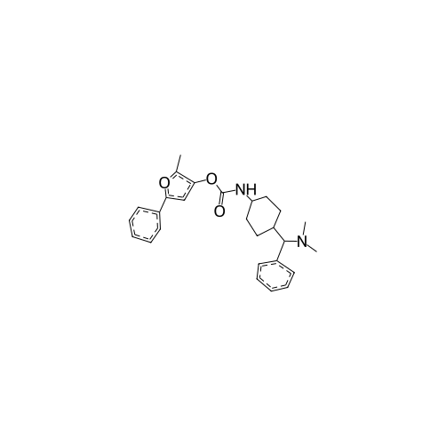 Cc1oc(-c2ccccc2)cc1OC(=O)NC1CCC(C(c2ccccc2)N(C)C)CC1